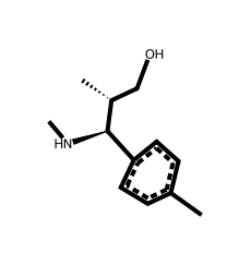 CN[C@H](c1ccc(C)cc1)[C@H](C)CO